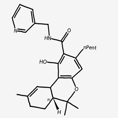 CCCCCc1cc2c(c(O)c1C(=O)NCc1cccnc1)C1C=C(C)CC[C@H]1C(C)(C)O2